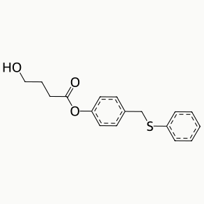 O=C(CCCO)Oc1ccc(CSc2ccccc2)cc1